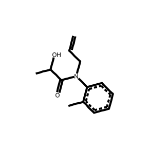 C=CCN(C(=O)C(C)O)c1ccccc1C